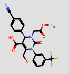 COC(=O)CN1C(=O)N(c2cccc(C(F)(F)F)c2)C(CBr)=C(C(=O)O)[C@H]1c1ccc(C#N)cc1